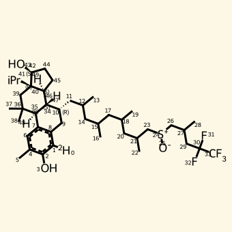 [2H]c1c(O)c(C)cc2c1C[C@@H](CC(C)CC(C)CC(C)CC(C)C[S+]([O-])CC(C)CC(F)(F)C(F)(F)F)[C@@H]1[C@@H]2C(C)(C)C[C@]2(C(C)C)[C@@H](O)CC[C@@H]12